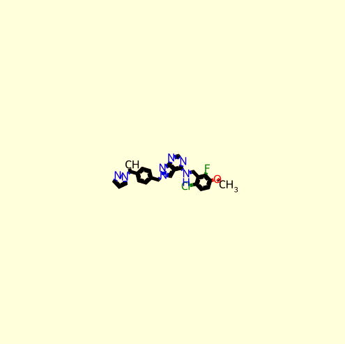 COc1ccc(Cl)c(CNc2ncnc3nn(Cc4ccc(C(C)n5cccn5)cc4)cc23)c1F